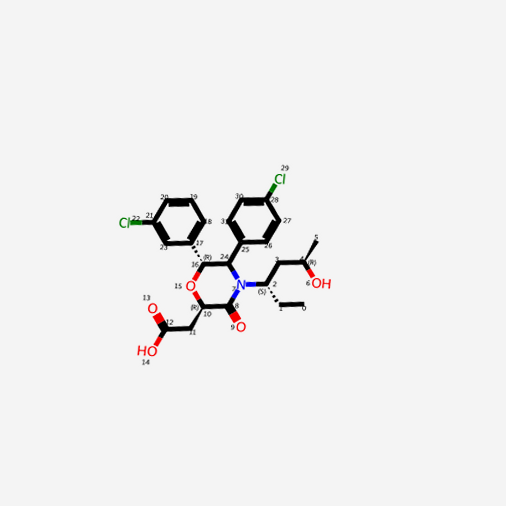 CC[C@@H](C[C@@H](C)O)N1C(=O)[C@@H](CC(=O)O)O[C@H](c2cccc(Cl)c2)C1c1ccc(Cl)cc1